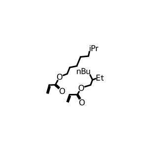 C=CC(=O)OCC(CC)CCCC.C=CC(=O)OCCCCCC(C)C